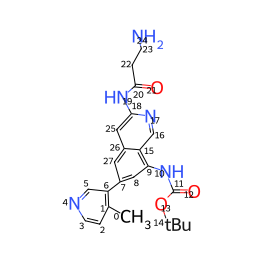 Cc1ccncc1-c1cc(NC(=O)OC(C)(C)C)c2cnc(NC(=O)CCN)cc2c1